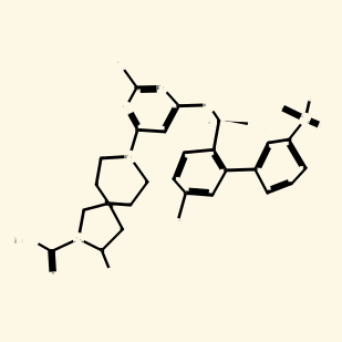 CCOC(=O)C1CC2(CCN(c3cc(O[C@H](c4ccc(Cl)cc4-c4cccc(S(C)(=O)=O)c4)C(F)(F)F)nc(N)n3)CC2)CN1C(=O)OCC(C)C